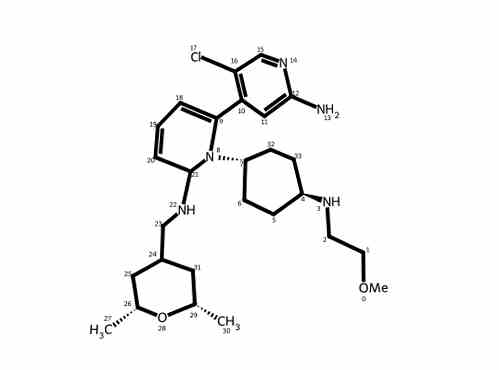 COCCN[C@H]1CC[C@H](N2C(c3cc(N)ncc3Cl)=CC=CC2NCC2C[C@@H](C)O[C@@H](C)C2)CC1